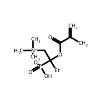 C=C(C)C(=O)OC(CC)(C[N+](C)(C)C)P(=O)([O-])O